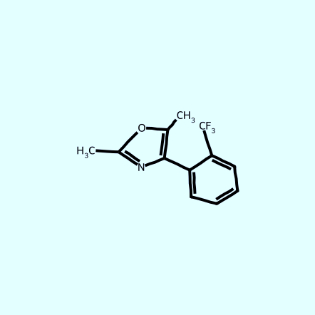 Cc1nc(-c2ccccc2C(F)(F)F)c(C)o1